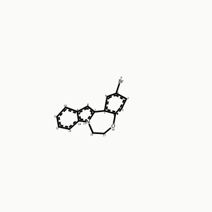 Brc1ccc2c(c1)-c1cc3ccccc3n1CCO2